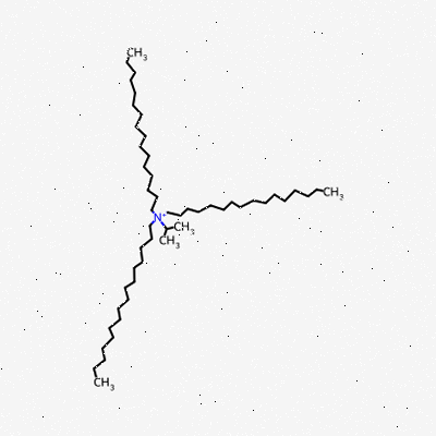 CCCCCCCCCCCCCCCC[N+](CCCCCCCCCCCCCCCC)(CCCCCCCCCCCCCCCC)C(C)C